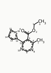 CCOC(=O)c1c(C)ncnc1-c1cccs1